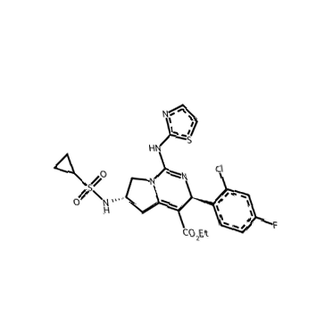 CCOC(=O)C1=C2C[C@H](NS(=O)(=O)C3CC3)CN2C(Nc2nccs2)=N[C@H]1c1ccc(F)cc1Cl